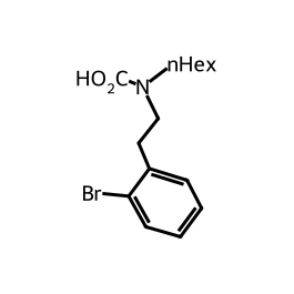 CCCCCCN(CCc1ccccc1Br)C(=O)O